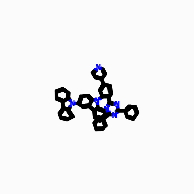 c1ccc(-c2nc(-c3ccccc3)nc(-c3ccc(-c4ccncc4)cc3-n3c4ccccc4c4cc(-n5c6ccccc6c6ccccc65)ccc43)n2)cc1